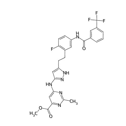 COC(=O)c1cc(Nc2cc(CCc3cc(NC(=O)c4cccc(C(F)(F)F)c4)ccc3F)[nH]n2)nc(C)n1